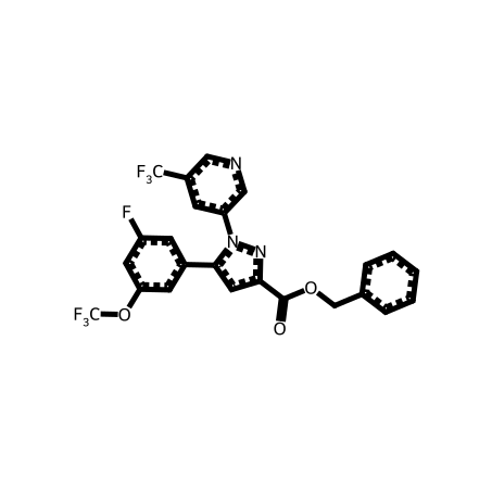 O=C(OCc1ccccc1)c1cc(-c2cc(F)cc(OC(F)(F)F)c2)n(-c2cncc(C(F)(F)F)c2)n1